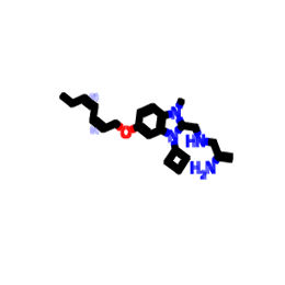 C=C(N)CNCC1N(C)c2ccc(OC/C=C\C=C/CC)cc2N1C1CCC1